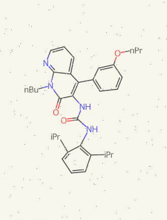 CCCCn1c(=O)c(NC(=O)Nc2c(C(C)C)cccc2C(C)C)c(-c2cccc(OCCC)c2)c2cccnc21